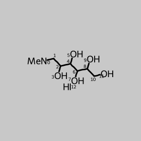 CNCC(O)C(O)C(O)C(O)CO.I